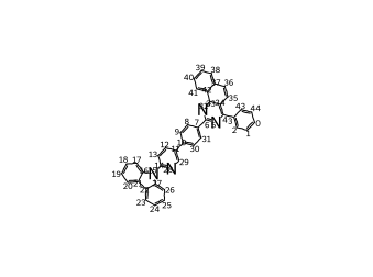 c1ccc(-c2nc(-c3ccc(-c4ccc(-n5c6ccccc6c6ccccc65)nc4)cc3)nc3c2ccc2ccccc23)cc1